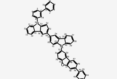 c1ccc(-c2cccc(-n3c4ccccc4c4cc(-c5ccc6c(c5)c5ccccc5n6-c5ccc6oc7cc(-c8ccccc8)ccc7c6c5)ccc43)c2)cc1